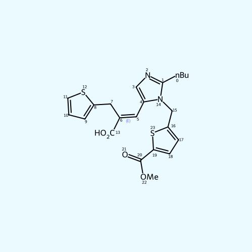 CCCCc1ncc(/C=C(\Cc2cccs2)C(=O)O)n1Cc1ccc(C(=O)OC)s1